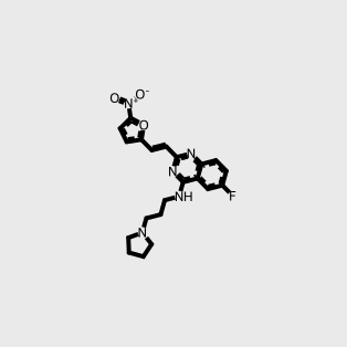 O=[N+]([O-])c1ccc(/C=C/c2nc(NCCCN3CCCC3)c3cc(F)ccc3n2)o1